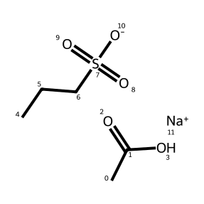 CC(=O)O.CCCS(=O)(=O)[O-].[Na+]